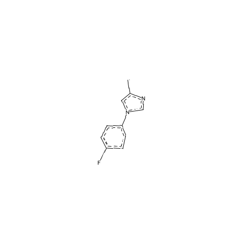 [CH2]c1cn(-c2ccc(F)cc2)cn1